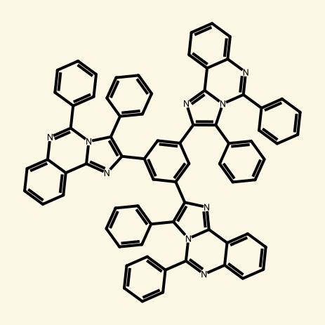 c1ccc(-c2nc3ccccc3c3nc(-c4cc(-c5nc6c7ccccc7nc(-c7ccccc7)n6c5-c5ccccc5)cc(-c5nc6c7ccccc7nc(-c7ccccc7)n6c5-c5ccccc5)c4)c(-c4ccccc4)n23)cc1